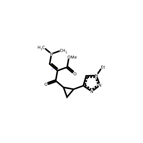 CCn1cc(C2CC2C(=O)/C(=C/N(C)C)C(=O)OC)nn1